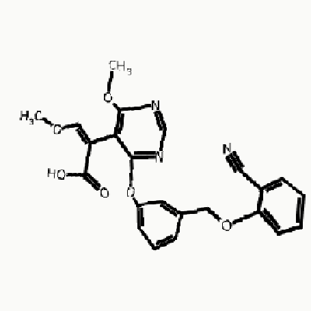 COC=C(C(=O)O)c1c(OC)ncnc1Oc1cccc(COc2ccccc2C#N)c1